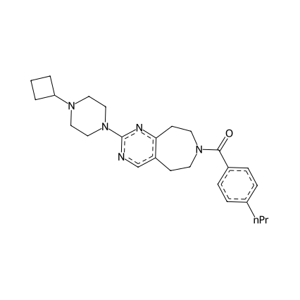 CCCc1ccc(C(=O)N2CCc3cnc(N4CCN(C5CCC5)CC4)nc3CC2)cc1